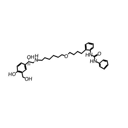 O=C(Nc1ccccc1)Nc1ccccc1CCCCOCCCCCCNC[C@@H](O)c1ccc(O)c(CO)c1